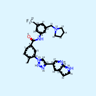 Cc1ccc(C(=O)Nc2cc(CN3CCCC3)cc(C(F)(F)F)c2)cc1-n1cc(-c2cnc3[nH]ccc3c2)nn1